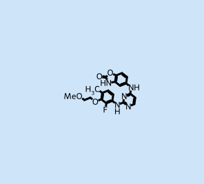 COCCOc1c(C)ccc(Nc2nccc(Nc3ccc4oc(=O)[nH]c4c3)n2)c1F